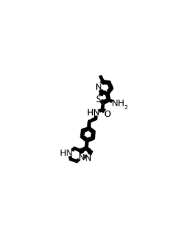 Cc1ccc2c(N)c(C(=O)NCCc3ccc(-c4cnn5c4CNCC5)cc3)sc2n1